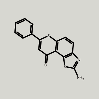 Nc1nc2ccc3sc(-c4ccccc4)cc(=O)c3c2s1